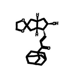 O=C(C=C[C@@H]1[C@@H]2CC3(C[C@@H]2C[C@H]1O)OCCO3)C12CC3CC(CC(C3)C1)C2